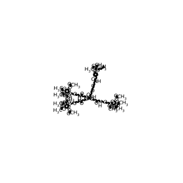 CC(=O)N[C@H]1[C@H](OCCOCCNCC(=O)CCOCC(COCCC(=O)NCCOCCO[C@@H]2O[C@H](COC(C)=O)[C@H](OC(C)=O)[C@H](OC(C)=O)[C@H]2NC(C)=O)(COCCC(=O)NCCOCCO[C@@H]2O[C@H](COC(C)=O)[C@H](OC(C)=O)[C@H](OC(C)=O)[C@H]2NC(C)=O)NC(=O)CCOCCOCCNC(=O)Cc2ccc(OP(OCCC#N)N(C(C)C)C(C)C)cc2)O[C@H](COC(C)=O)[C@H](OC(C)=O)[C@@H]1OC(C)=O